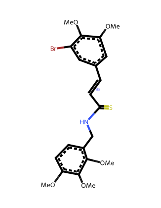 COc1cc(/C=C/C(=S)NCc2ccc(OC)c(OC)c2OC)cc(Br)c1OC